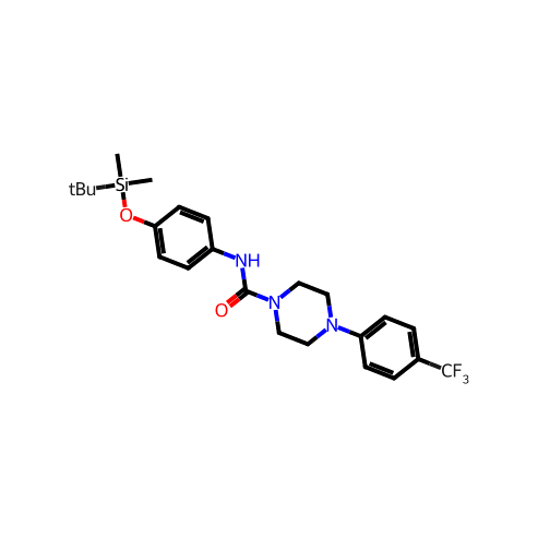 CC(C)(C)[Si](C)(C)Oc1ccc(NC(=O)N2CCN(c3ccc(C(F)(F)F)cc3)CC2)cc1